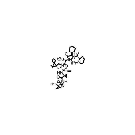 C=C[C@@H]1C[C@]1(NC(=O)[C@@H]1C[C@@]2(CN1C(=O)[C@@H](NC(=O)[C@@H](NC(=O)[C@@H]1CCCCN1C(C)C)C1CCCCC1)C(C)(C)C)C(C)(C)C21CCC1)C(=O)NS(=O)(=O)C1(CCC)CC1